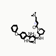 CN(C)C/C=C/C(=O)N1CCCC(NC2=CC(N)(c3ccc(Oc4ccccc4)cc3)NC=N2)C1